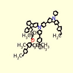 C=CC1=CCC(c2ccc3c(c2)C2C=C(C4C=CC(N(C5=CC=C6C7C=CC=CC7C(CC[Si](C)(C)CCOC7=CC(C)=C(C8=CCC(C=C)C=C8)CC7C)(C7=CCCC=C7)C6C5)c5ccc(C6=CCC(C(C)(C)C)C=C6)cc5)=CC4)C=CC2N3C2=CC=CCC2)C=C1